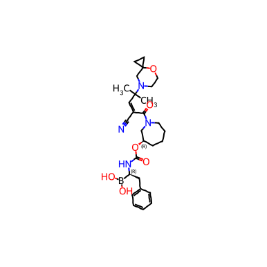 CC(C)(C=C(C#N)C(=O)N1CCCC[C@@H](OC(=O)N[C@@H](Cc2ccccc2)B(O)O)C1)N1CCOC2(CC2)C1